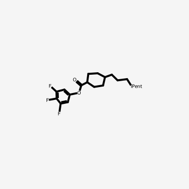 CCCC(C)CCCC1CCC(C(=O)Oc2cc(F)c(F)c(F)c2)CC1